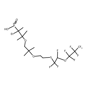 CCC(C)([PH](=O)O)C(C)(C)OCC(C)(C)OCCSC(F)(F)C(F)OC(F)(F)C(F)(F)C(F)(F)F